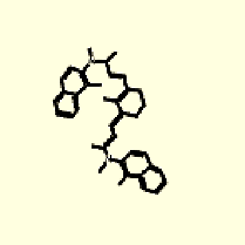 CC1=C(/C=C/C(C)N(C)c2ccc3ccccc3c2C)CCC/C1=C\C=C(/C)N(C)c1ccc2ccccc2c1C